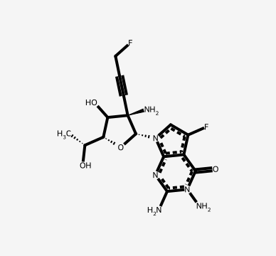 C[C@@H](O)[C@H]1O[C@@H](n2cc(F)c3c(=O)n(N)c(N)nc32)[C@@](N)(C#CCF)C1O